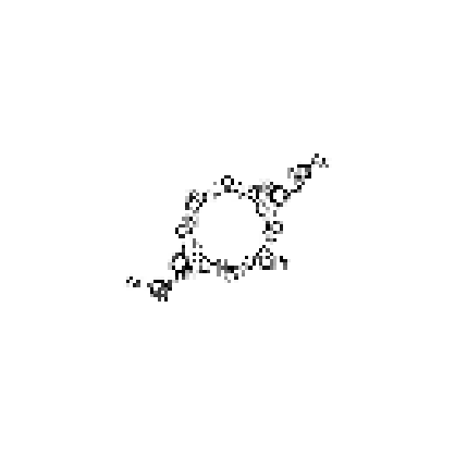 CC(=O)c1cnn(Cc2ccc(C[C@H]3OC(=O)[C@H](CC(C)C)N(C)C(=O)[C@@H](C)OC(=O)[C@H](CC(C)C)N(C)C(=O)[C@@H](Cc4cccc(Cn5cc(C(C)=O)cn5)c4)OC(=O)[C@H](CC(C)C)N(C)C(=O)[C@@H](C)OC(=O)[C@H](CC(C)C)N(C)C3=O)cc2)c1